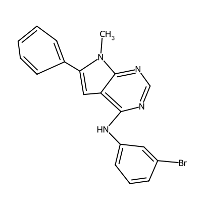 Cn1c(-c2ccccc2)cc2c(Nc3cccc(Br)c3)ncnc21